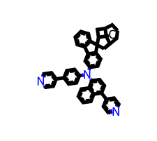 c1ccc2c(c1)-c1cc(N(c3ccc(-c4ccncc4)cc3)c3ccc(-c4ccncc4)c4ccccc34)ccc1C21C2CC3CC4CC1C4(C3)C2